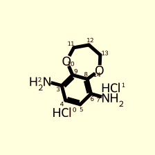 Cl.Cl.Nc1ccc(N)c2c1OCCCO2